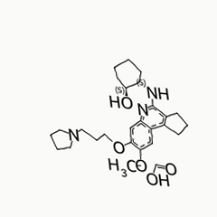 COc1cc2c3c(c(N[C@H]4CCCC[C@@H]4O)nc2cc1OCCCN1CCCC1)CCC3.O=CO